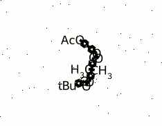 CC(=O)Oc1ccc(-c2ccc(OC(=O)Oc3ccc(C(C)(C)c4ccc(OC(=O)Oc5ccc(C(C)(C)C)cc5)cc4)cc3)cc2)cc1